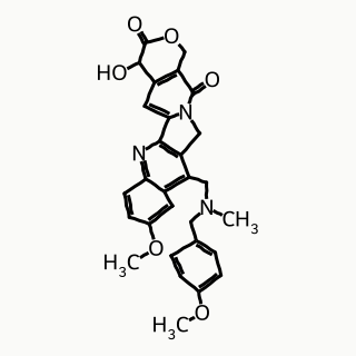 COc1ccc(CN(C)Cc2c3c(nc4ccc(OC)cc24)-c2cc4c(c(=O)n2C3)COC(=O)C4O)cc1